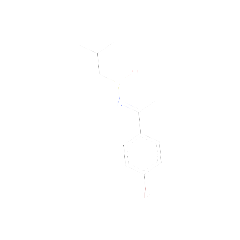 CC(=N[S+]([O-])CC(C)C)c1ccc(Br)cc1